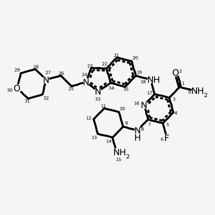 NC(=O)c1cc(F)c(NC2CCCCC2N)nc1Nc1ccc2cn(CCN3CCOCC3)nc2c1